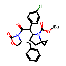 CC(C)(C)OC(=O)N1[C@H](C(C(=O)N2C(=O)OC[C@H]2Cc2ccccc2)c2ccc(Cl)cc2)CCC12CC2